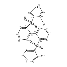 O=S(=O)(c1ccccc1Cl)c1ccccc1-c1ccccc1S(=O)(=O)c1ccccc1Cl